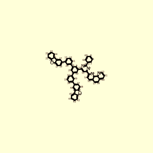 c1ccc(-c2nc(-c3cc(-c4cccc(-c5ccc6oc7ccccc7c6c5)c4)cc(-c4cccc(-c5ccc6oc7ccccc7c6c5)c4)c3)cc(-c3ccc4ccc5cccnc5c4n3)n2)cc1